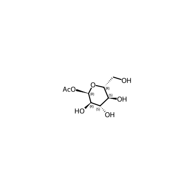 CC(=O)O[C@H]1O[C@H](CO)[C@@H](O)[C@H](O)[C@H]1O